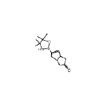 CC1(C)NB(C2=CC3CC(=O)CC3C2)OC1(C)C